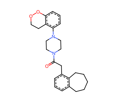 O=C(Cc1cccc2c1CCCCC2)N1CCN(c2cccc3c2CCOO3)CC1